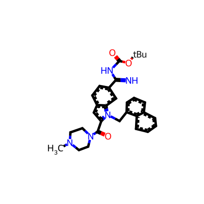 CN1CCN(C(=O)c2cc3ccc(C(=N)NC(=O)OC(C)(C)C)cc3n2Cc2cccc3ccccc23)CC1